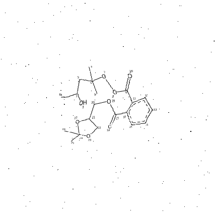 CC(O)CC(C)(C)OOC(=O)c1ccccc1C(=O)OCC1COC(C)(C)O1